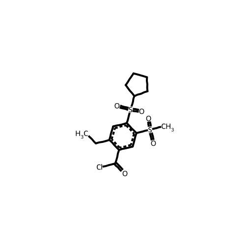 CCc1cc(S(=O)(=O)C2CCCC2)c(S(C)(=O)=O)cc1C(=O)Cl